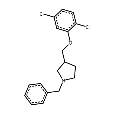 Clc1ccc(Cl)c(OCC2CCN(Cc3ccccc3)C2)c1